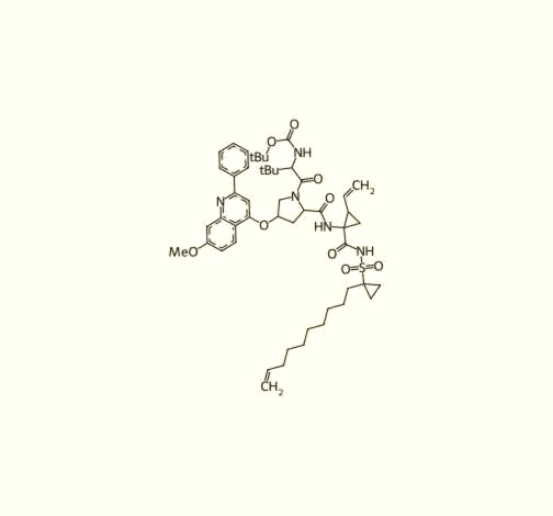 C=CCCCCCCCCC1(S(=O)(=O)NC(=O)C2(NC(=O)C3CC(Oc4cc(-c5ccccc5)nc5cc(OC)ccc45)CN3C(=O)C(NC(=O)OC(C)(C)C)C(C)(C)C)CC2C=C)CC1